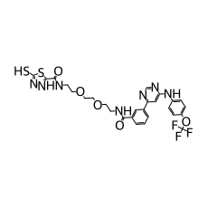 O=C(NCCOCCOCCNC(=O)c1nnc(S)s1)c1cccc(-c2cc(Nc3ccc(OC(F)(F)F)cc3)ncn2)c1